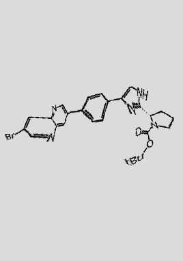 CC(C)(C)OC(=O)N1CCC[C@H]1c1nc(-c2ccc(-c3cnc4cc(Br)cnc4c3)cc2)c[nH]1